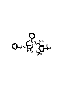 C[C@@H](OC[C@@]1(c2ccccc2)CC[C@@]2(COCc3ccccc3)CN1CC(=O)N2)c1cc(C(F)(F)F)cc(C(F)(F)F)c1